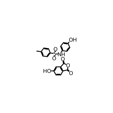 Cc1ccc(S(=O)(=O)Nc2ccc(O)cc2)cc1.O=C1OC(=O)c2cc(O)ccc21